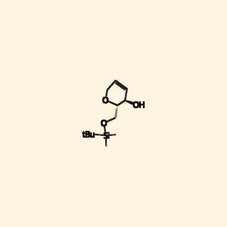 CC(C)(C)[Si](C)(C)OC[C@@H]1OCC=C[C@H]1O